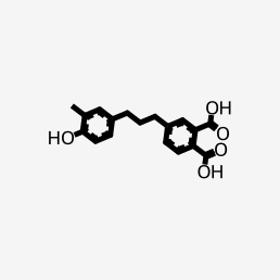 Cc1cc(CCCc2ccc(C(=O)O)c(C(=O)O)c2)ccc1O